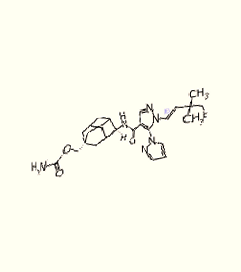 CC(C)(/C=C/n1ncc(C(=O)N[C@H]2C3CC4CC2C[C@](COC(N)=O)(C4)C3)c1-n1cccn1)CF